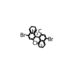 Cc1cc(Br)c2c(c1-c1c(C)cc(Br)c3c1=CCCC=3)=CCCC=2